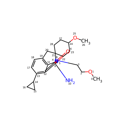 COCCN1C(=O)C2(N=C1N)c1cc(C3CC3)ccc1CC21CCC(OC)CC1